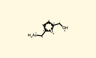 OCc1ccc(C[AsH2])o1